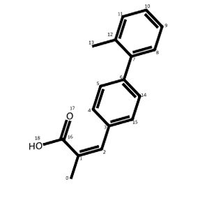 CC(=Cc1ccc(-c2ccccc2C)cc1)C(=O)O